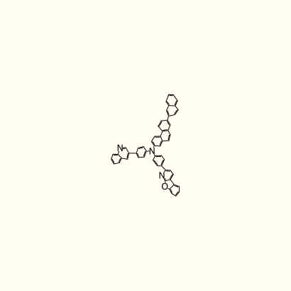 c1ccc2cc(-c3ccc4c(ccc5cc(N(c6ccc(-c7cnc8ccccc8c7)cc6)c6ccc(-c7ccc8c(n7)oc7ccccc78)cc6)ccc54)c3)ccc2c1